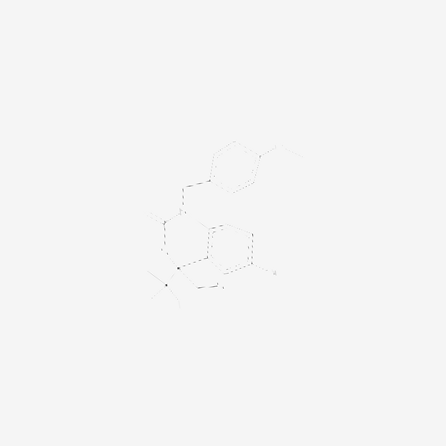 COc1ccc(CN2C(=O)NC(CN)(C(F)(F)F)c3cc(Br)ccc32)cc1